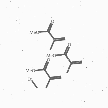 C=C(C)C(=O)OC.C=C(C)C(=O)OC.C=C(C)C(=O)OC.CCC